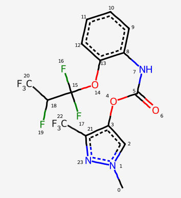 Cn1cc(OC(=O)Nc2ccccc2OC(F)(F)C(F)C(F)(F)F)c(C(F)(F)F)n1